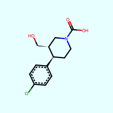 O=C(O)N1CC[C@@H](c2ccc(Cl)cc2)[C@H](CO)C1